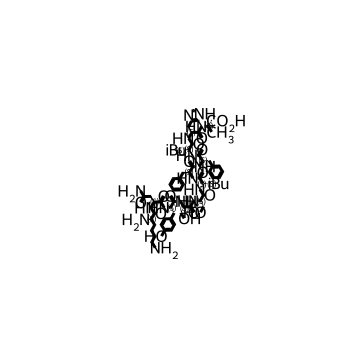 CC[C@H](C)[C@H](NC(=O)[C@H](Cc1ccccc1)NC(=O)[C@H](Cc1ccccc1)NC(=O)[C@@H](NC(=O)[C@H](CO)NC(=O)[C@H](CO)NC(=O)[C@H](Cc1ccc(O)cc1)NC(=O)[C@H](CC(N)=O)NC(=O)[C@@H](N)CCCCN)[C@@H](C)CC)C(=O)N[C@@H](Cc1c[nH]cn1)C(=O)N[C@@H](C)C(=O)O